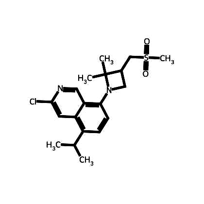 CC(C)c1ccc(N2CC(CS(C)(=O)=O)C2(C)C)c2cnc(Cl)cc12